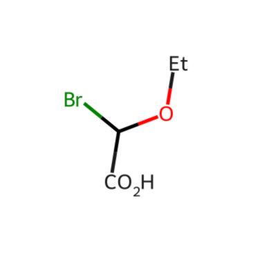 CCOC(Br)C(=O)O